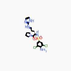 Nc1c(Cl)cc(S(=O)(=O)N[C@@H](CCCNc2ncc[nH]2)C(=O)N2CCCC2)cc1Cl